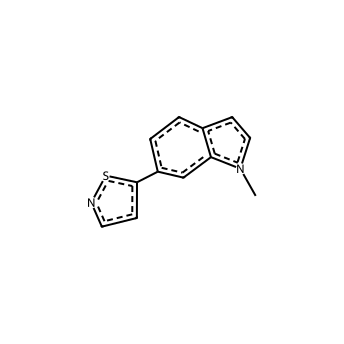 Cn1ccc2ccc(-c3ccns3)cc21